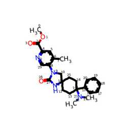 COC(=O)c1cc(C)c(N2CC3(CCC(c4ccccc4)(N(C)C)CC3)NC2=O)cn1